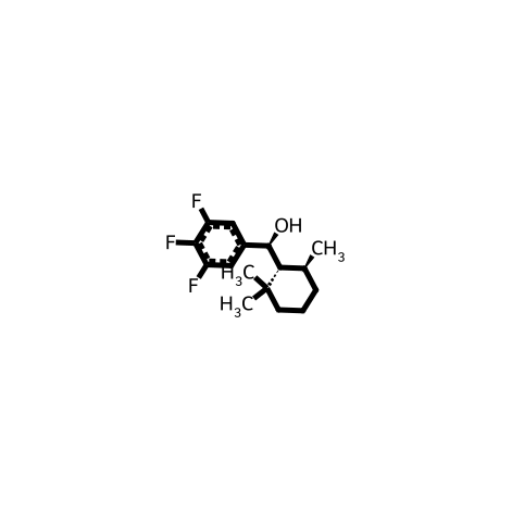 C[C@H]1CCCC(C)(C)[C@@H]1[C@H](O)c1cc(F)c(F)c(F)c1